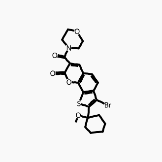 COC1(c2sc3c(ccc4cc(C(=O)N5CCOCC5)c(=O)oc43)c2Br)CCCCC1